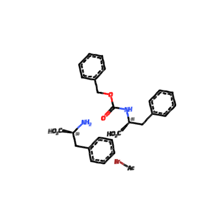 CC(=O)Br.N[C@@H](Cc1ccccc1)C(=O)O.O=C(N[C@@H](Cc1ccccc1)C(=O)O)OCc1ccccc1